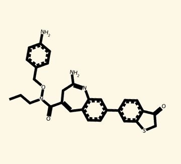 CCCN(OCc1ccc(N)cc1)C(=O)C1=Cc2ccc(-c3ccc4c(c3)SCC4=O)cc2N=C(N)C1